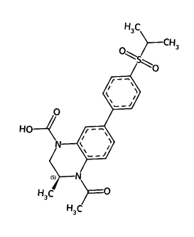 CC(=O)N1c2ccc(-c3ccc(S(=O)(=O)C(C)C)cc3)cc2N(C(=O)O)C[C@@H]1C